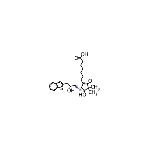 CC1(C)C(=O)[C@H](CCCCCCC(=O)O)[C@@H](/C=C/C(O)Cc2cc3ccccc3s2)[C@@H]1O